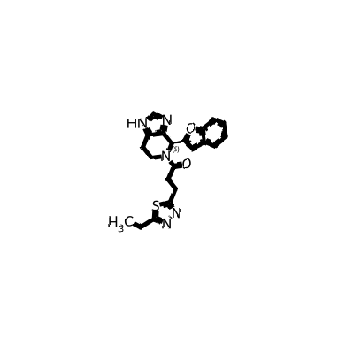 CCc1nnc(CCC(=O)N2CCc3[nH]cnc3[C@H]2c2cc3ccccc3o2)s1